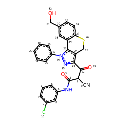 N#CC(C(=O)Nc1cccc(Cl)c1)C(=O)c1nn(-c2ccccc2)c2c1CSc1ccc(CO)cc1-2